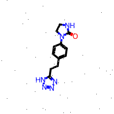 O=C1NCCN1c1ccc(CCc2nnn[nH]2)cc1